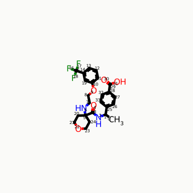 CC(NC(=O)C1(NCCOc2cccc(C(F)(F)F)c2)CCOCC1)c1ccc(C(=O)O)cc1